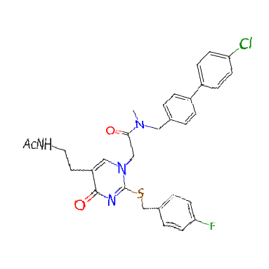 CC(=O)NCCc1cn(CC(=O)N(C)Cc2ccc(-c3ccc(Cl)cc3)cc2)c(SCc2ccc(F)cc2)nc1=O